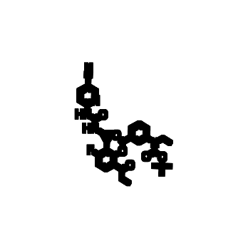 CCC(=O)c1ccc(F)c(C2CC2NC(=O)Nc2ccc(C#N)cn2)c1OC(=O)c1cccc(N(CC)C(=O)OC(C)(C)C)c1